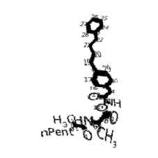 CCCCC[C@H](C)C(=O)N[C@@H](C)C(=O)ONC(=O)Cc1ccc(CCCCc2ccccc2)cc1